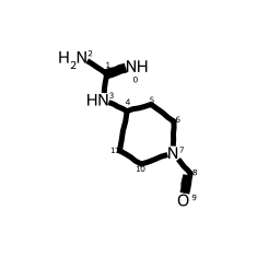 N=C(N)NC1CCN(C=O)CC1